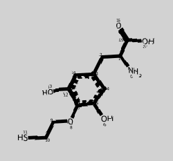 NC(Cc1cc(O)c(OCCS)c(O)c1)C(=O)O